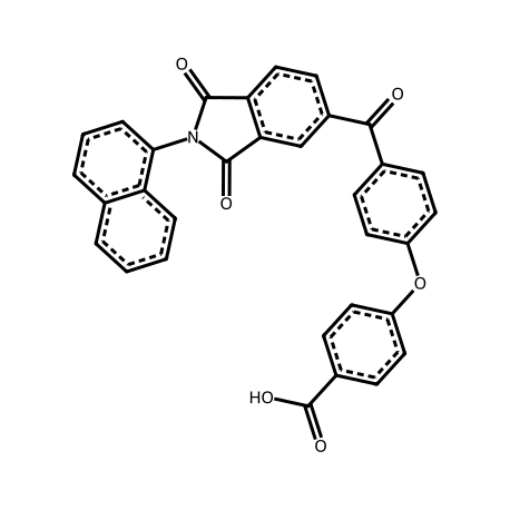 O=C(O)c1ccc(Oc2ccc(C(=O)c3ccc4c(c3)C(=O)N(c3cccc5ccccc35)C4=O)cc2)cc1